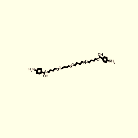 Nc1ccc(C(O)OCCCCOOCCCCOOCCCCOOCCCCOC(O)c2ccc(N)cc2)cc1